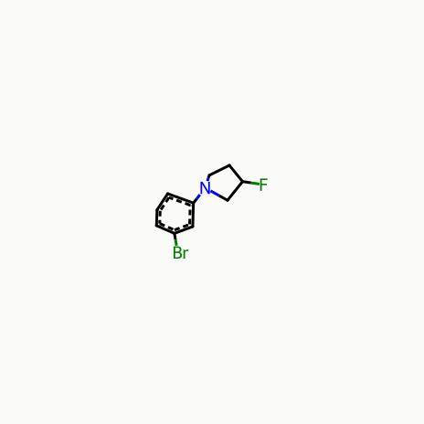 FC1CCN(c2cccc(Br)c2)C1